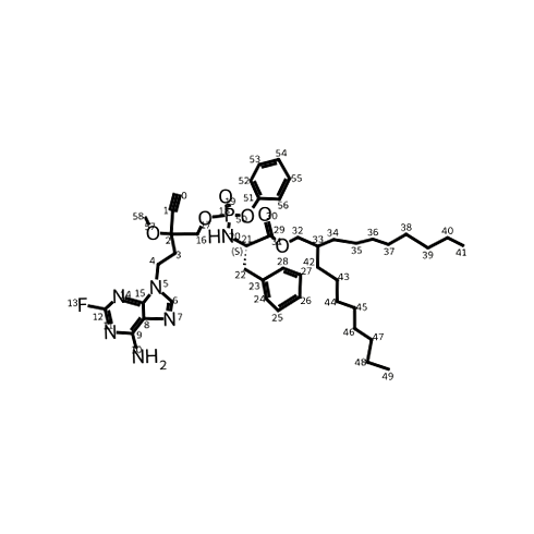 C#CC(CCn1cnc2c(N)nc(F)nc21)(COP(=O)(N[C@@H](Cc1ccccc1)C(=O)OCC(CCCCCCCC)CCCCCCCC)Oc1ccccc1)OC